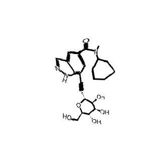 CN(C(=O)c1cc(C#C[C@H]2O[C@H](CO)[C@@H](O)[C@H](O)[C@@H]2O)c2[nH]ncc2c1)C1CCCCC1